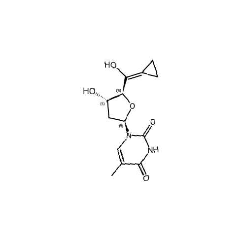 Cc1cn([C@H]2C[C@H](O)[C@@H](C(O)=C3CC3)O2)c(=O)[nH]c1=O